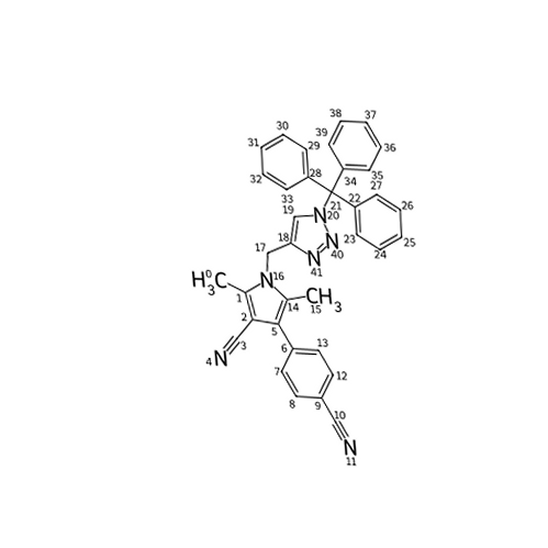 Cc1c(C#N)c(-c2ccc(C#N)cc2)c(C)n1Cc1cn(C(c2ccccc2)(c2ccccc2)c2ccccc2)nn1